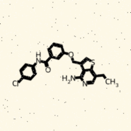 CCc1cnc(N)c2c(COc3cccc(C(=O)Nc4ccc(Cl)cc4)c3)csc12